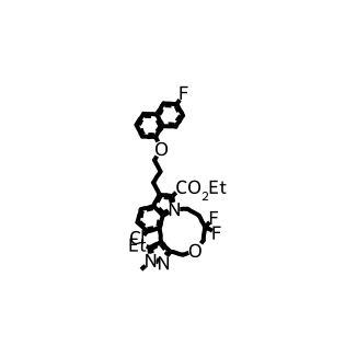 CCOC(=O)c1c(CCCOc2cccc3cc(F)ccc23)c2ccc(Cl)c3c2n1CCC(F)(F)COCc1nn(C)c(CC)c1-3